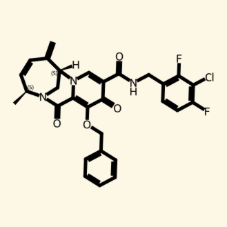 C=C1C=C[C@H](C)N2C[C@H]1n1cc(C(=O)NCc3ccc(F)c(Cl)c3F)c(=O)c(OCc3ccccc3)c1C2=O